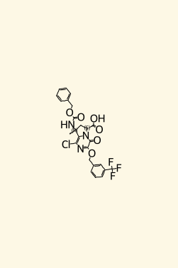 C[C@@]1(NC(=O)OCc2ccccc2)C[C@@H](C(=O)O)n2c1c(Cl)nc(OCc1cccc(C(F)(F)F)c1)c2=O